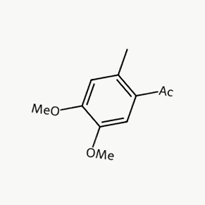 COc1cc(C)c(C(C)=O)cc1OC